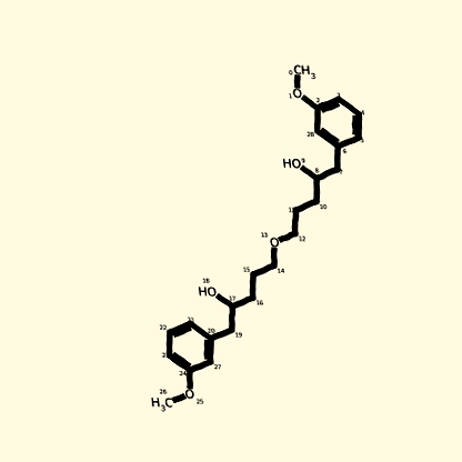 COc1cccc(CC(O)CCCOCCCC(O)Cc2cccc(OC)c2)c1